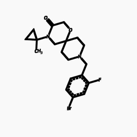 CC1(N2CC3(CCN(Cc4ccc(Br)cc4F)CC3)OCC2=O)CC1